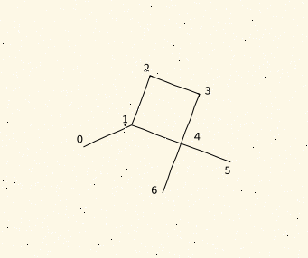 C[C]1CCC1(C)C